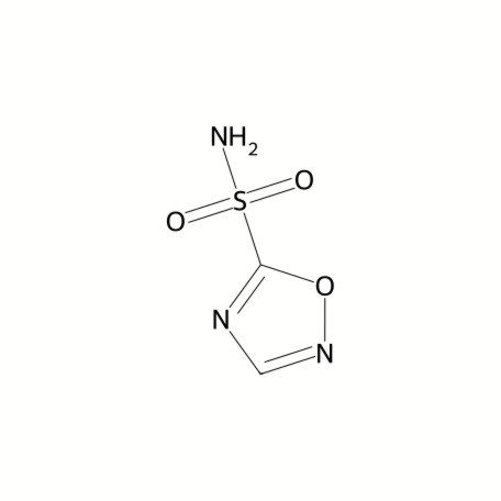 NS(=O)(=O)c1ncno1